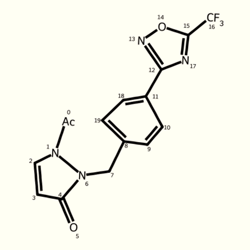 CC(=O)n1ccc(=O)n1Cc1ccc(-c2noc(C(F)(F)F)n2)cc1